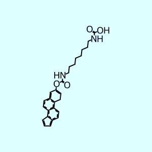 O=C(O)NCCCCCCCCNC(=O)OC1=CCc2c(ccc3c4c(ccc23)=CC=C4)=C1